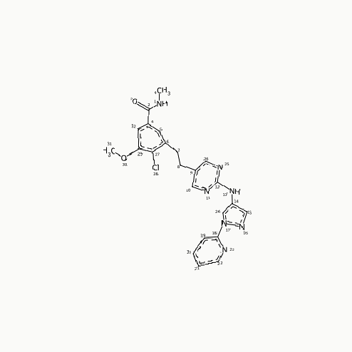 CNC(=O)c1cc(CCc2cnc(Nc3cnn(-c4ccccn4)c3)nc2)c(Cl)c(OC)c1